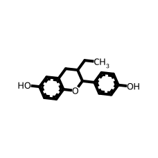 CCC1Cc2cc(O)ccc2OC1c1ccc(O)cc1